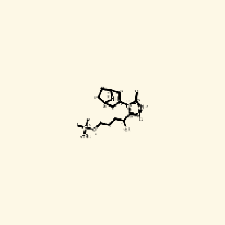 CCC(CCCO[Si](C)(C)C(C)(C)C)c1nnc(C)n1C1CC2CCC(C1)N2